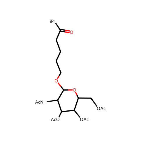 CC(=O)NC1C(OCCCCC(=O)C(C)C)OC(COC(C)=O)C(OC(C)=O)C1OC(C)=O